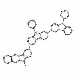 Cn1c2ccc(-c3ccc4c(c3)c3ccc(-c5ccc6c(c5)-c5ccccc5C6c5ccccc5)cc3n4-c3ccccc3)cc2c2cc3ccccc3cc21